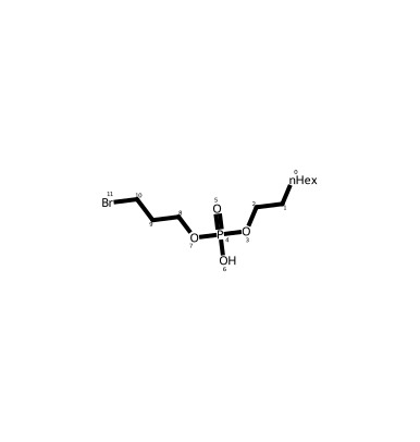 CCCCCCCCOP(=O)(O)OCCCBr